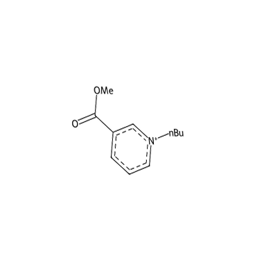 CCCC[n+]1cccc(C(=O)OC)c1